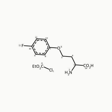 CCOC(=O)Cl.NC(CCOc1ccc(F)cc1)C(=O)O